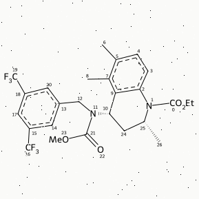 CCOC(=O)N1c2ccc(C)c(C)c2[C@@H](N(Cc2cc(C(F)(F)F)cc(C(F)(F)F)c2)C(=O)OC)C[C@H]1C